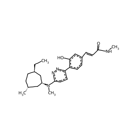 CC[C@@H]1CC[C@@H](C)C[C@H](N(C)c2ccc(-c3ccc(/C=C/C(=O)NC)cc3O)nn2)C1